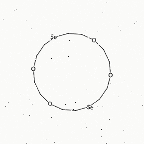 C1COCC[Se]CCOCCOCC[Se]CCO1